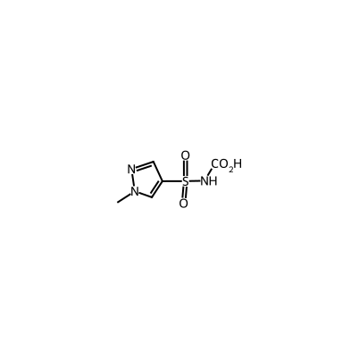 Cn1cc(S(=O)(=O)NC(=O)O)cn1